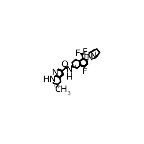 C[C@@H]1CNc2ncc(C(=O)N[C@H]3CCc4c(c(F)cc(N5CC6CCC(C5)N6)c4C(F)F)C3)cc2C1